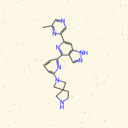 Cc1cncc(-c2cc3[nH]ncc3c(-c3cccc(N4CC5(CCNC5)C4)n3)n2)n1